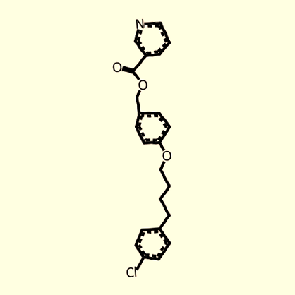 O=C(OCc1ccc(OCCCCc2ccc(Cl)cc2)cc1)c1cccnc1